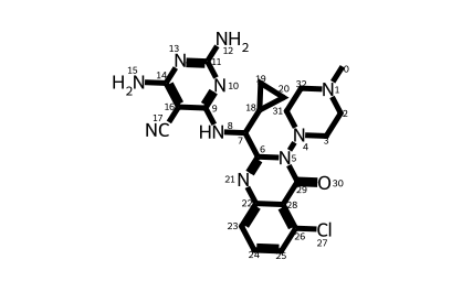 CN1CCN(n2c(C(Nc3nc(N)nc(N)c3C#N)C3CC3)nc3cccc(Cl)c3c2=O)CC1